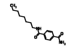 CCCCCCCCNC(=O)c1ccc(C(N)=O)cc1